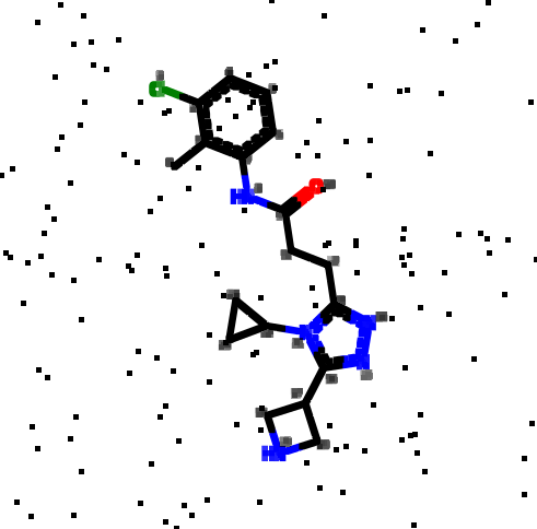 Cc1c(Cl)cccc1NC(=O)CCc1nnc(C2CNC2)n1C1CC1